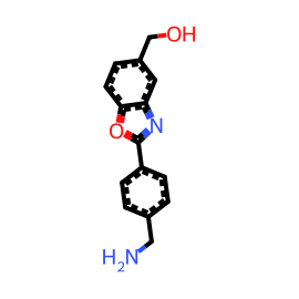 NCc1ccc(-c2nc3cc(CO)ccc3o2)cc1